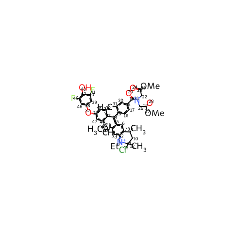 CC[N+]1=c2cc3c(cc2C(C)CC1(C)Cl)=C(c1ccc(C(=O)N(CC(=O)OC)CC(=O)OC)cc1C)c1ccc(Oc2cc(F)c(O)c(F)c2)cc1[Si]3(C)C